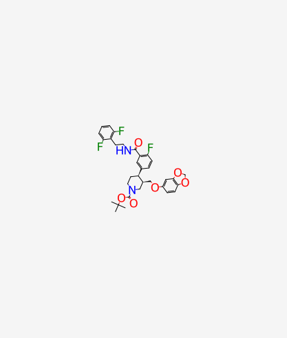 CC(C)(C)OC(=O)N1CC[C@@H](c2ccc(F)c(C(=O)NCCc3c(F)cccc3F)c2)[C@@H](COc2ccc3c(c2)OCO3)C1